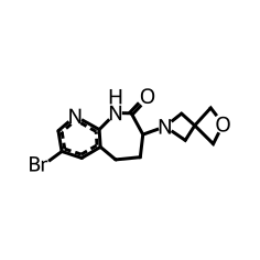 O=C1Nc2ncc(Br)cc2CCC1N1CC2(COC2)C1